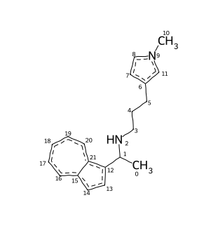 CC(NCCCc1ccn(C)c1)c1ccc2cccccc1-2